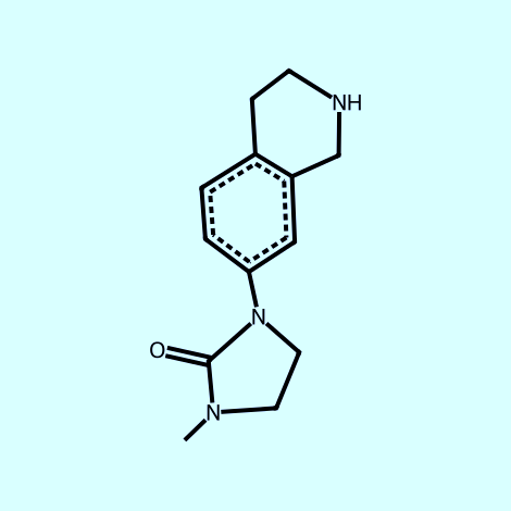 CN1CCN(c2ccc3c(c2)CNCC3)C1=O